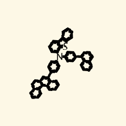 c1ccc2c(-c3ccc(N(c4ccc(-c5cc6ccc7ccccc7c6c6ccccc56)cc4)c4cccc5c4sc4ccccc45)cc3)cccc2c1